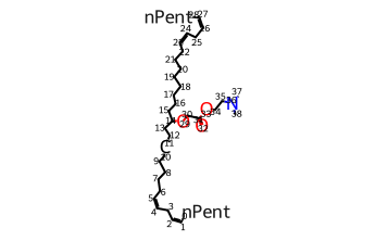 CCCCC/C=C\C/C=C\CCCCCCCCC(CCCCCCCC/C=C\C/C=C\CCCCC)OCC(=O)OCCN(C)C